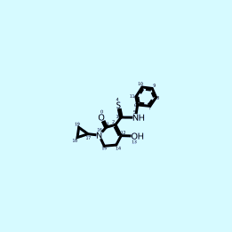 O=C1C(C(=S)Nc2ccccc2)=C(O)CCN1C1CC1